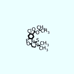 CC(C)OC(=O)c1cc(N2C(=O)CCN(C(C)C)C2=S)c(F)cc1Cl